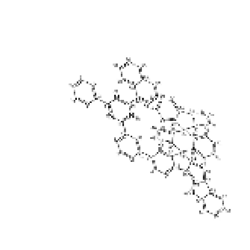 c1ccc(-c2nc(-c3cccc(-c4ccc5c(c4)C4(c6ccccc6C6(c7ccccc7-c7ccccc76)c6ccccc64)c4ccc6c(oc7ccccc76)c4-5)c3)nc(-c3cccc4ccccc34)n2)cc1